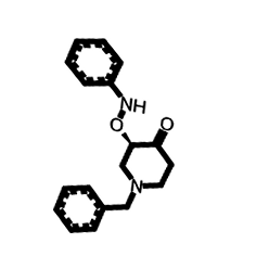 O=C1CCN(Cc2ccccc2)C[C@H]1ONc1ccccc1